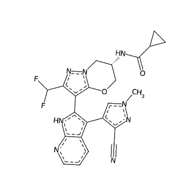 Cn1cc(-c2c(-c3c(C(F)F)nn4c3OC[C@@H](NC(=O)C3CC3)C4)[nH]c3ncccc23)c(C#N)n1